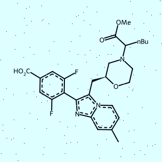 CCCCC(C(=O)OC)N1CCO[C@@H](Cc2c(-c3c(F)cc(C(=O)O)cc3F)nc3cc(C)ccn23)C1